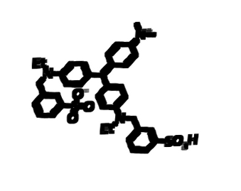 CCN(Cc1cccc(S(=O)(=O)[O-])c1)c1ccc(C(=C2C=CC(=[N+](C)C)C=C2)c2ccc(N(CC)Cc3cccc(S(=O)(=O)O)c3)cc2)cc1